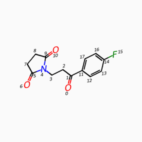 O=C(CCN1C(=O)CCC1=O)c1ccc(F)cc1